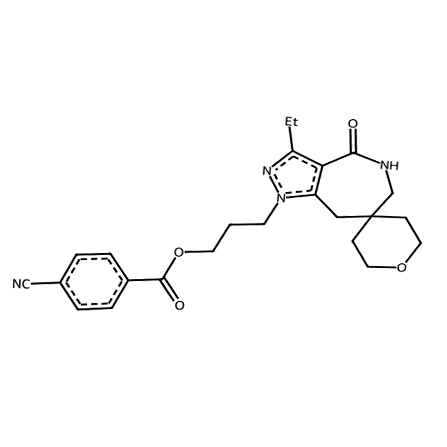 CCc1nn(CCCOC(=O)c2ccc(C#N)cc2)c2c1C(=O)NCC1(CCOCC1)C2